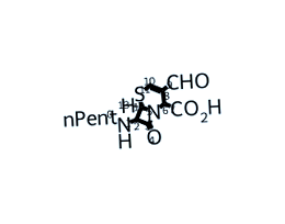 CCCCCNC1C(=O)N2C(C(=O)O)C(C=O)=CS[C@H]12